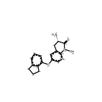 N[C@H]1Cc2cc(Oc3cccc4c3CCC4)cnc2N(O)C1=O